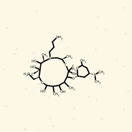 CC[C@@H]1OC(O)C(C)C(O)C(C)C(O[C@H]2C[C@@H](N(C)C)CC(C)O2)C(C)(O)C[C@H](C)CN(CCCN)[C@H](C)C(O)[C@@]1(C)O